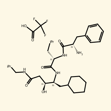 CC(C)CNC(=O)C[C@H](O)[C@H](CC1CCCCC1)NC(=O)[C@H](CC(C)C)NC(=O)[C@@H](N)Cc1ccccc1.O=C(O)C(F)(F)F